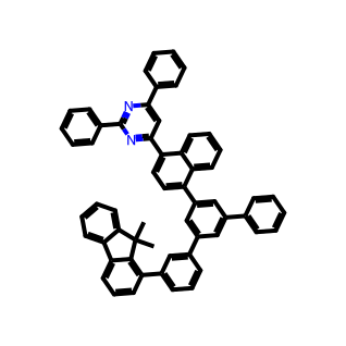 CC1(C)c2ccccc2-c2cccc(-c3cccc(-c4cc(-c5ccccc5)cc(-c5ccc(-c6cc(-c7ccccc7)nc(-c7ccccc7)n6)c6ccccc56)c4)c3)c21